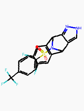 O=S(=O)(c1ccc(C(F)(F)F)cc1)N1C2c3cc(F)c(F)cc3C1c1n[nH]cc12